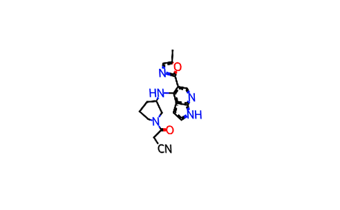 Cc1cnc(-c2cnc3[nH]ccc3c2N[C@@H]2CCCN(C(=O)CC#N)C2)o1